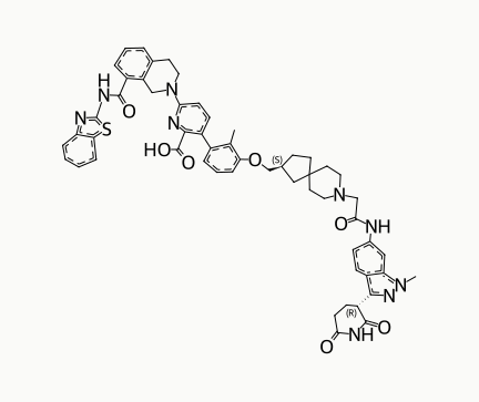 Cc1c(OC[C@H]2CCC3(CCN(CC(=O)Nc4ccc5c([C@H]6CCC(=O)NC6=O)nn(C)c5c4)CC3)C2)cccc1-c1ccc(N2CCc3cccc(C(=O)Nc4nc5ccccc5s4)c3C2)nc1C(=O)O